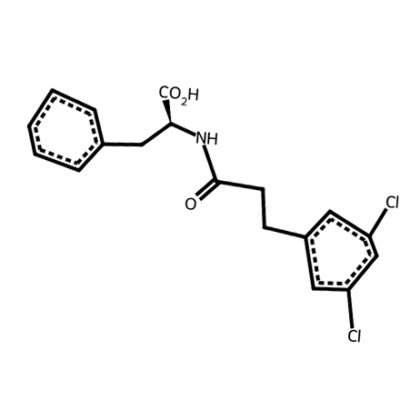 O=C(CCc1cc(Cl)cc(Cl)c1)N[C@@H](Cc1ccccc1)C(=O)O